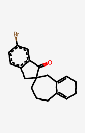 O=C1c2cc(Br)ccc2CC12CCCC1=CCCC=C1C2